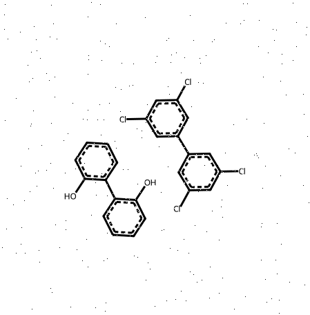 Clc1cc(Cl)cc(-c2cc(Cl)cc(Cl)c2)c1.Oc1ccccc1-c1ccccc1O